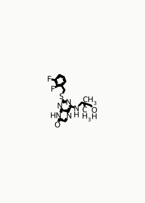 CC(C)(CO)CNc1nc(SCc2cccc(F)c2F)nc2[nH]c(=O)cnc12